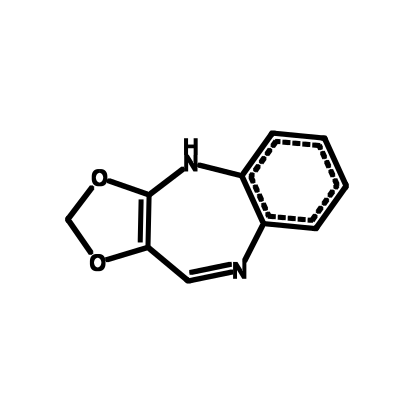 C1=Nc2ccccc2NC2=C1OCO2